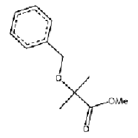 COC(=O)C(C)(C)OCc1ccccc1